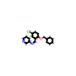 Clc1ccc(OCc2ccccc2)c(/C=N\c2cccnc2)c1